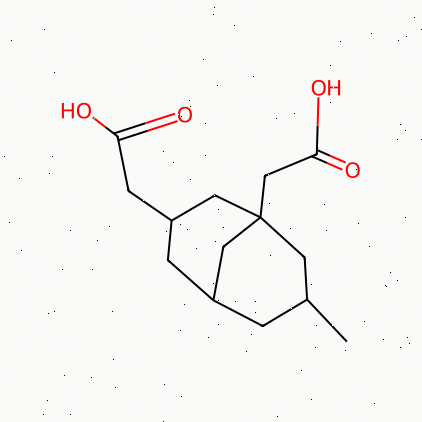 CC1CC2CC(CC(=O)O)CC(CC(=O)O)(C1)C2